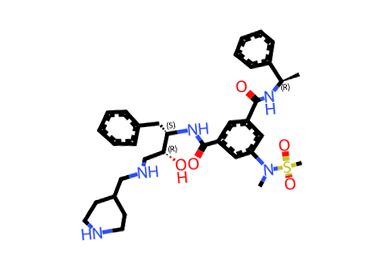 C[C@@H](NC(=O)c1cc(C(=O)N[C@@H](Cc2ccccc2)[C@H](O)CNCC2CCNCC2)cc(N(C)S(C)(=O)=O)c1)c1ccccc1